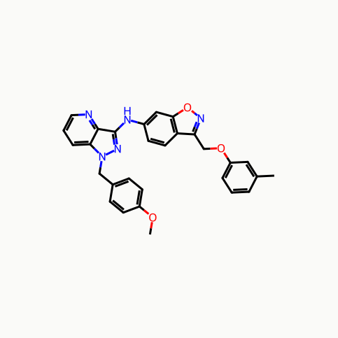 COc1ccc(Cn2nc(Nc3ccc4c(COc5cccc(C)c5)noc4c3)c3ncccc32)cc1